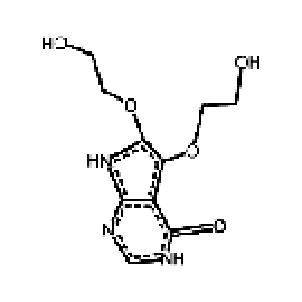 O=c1[nH]cnc2[nH]c(OCCO)c(OCCO)c12